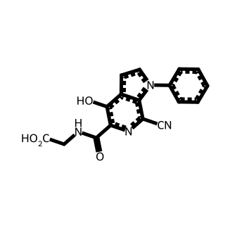 N#Cc1nc(C(=O)NCC(=O)O)c(O)c2ccn(-c3ccccc3)c12